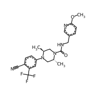 COc1ccc(CNC(=O)N2C[C@H](C)N(c3ccc(C#N)c(C(F)(F)F)c3)C[C@H]2C)cn1